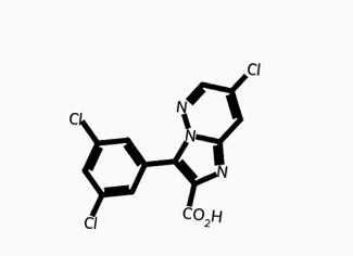 O=C(O)c1nc2cc(Cl)cnn2c1-c1cc(Cl)cc(Cl)c1